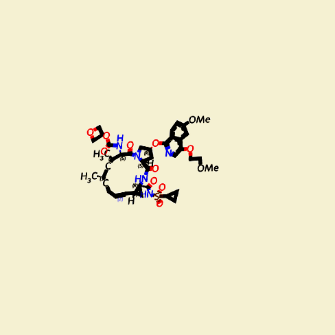 COCCOc1cnc(O[C@@H]2C[C@H]3C(=O)N[C@]4(C(=O)NS(=O)(=O)C5CC5)C[C@H]4/C=C\CC[C@H](C)C[C@@H](C)[C@H](NC(=O)OC4COC4)C(=O)N3C2)c2ccc(OC)cc12